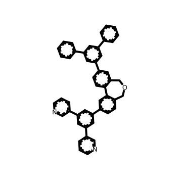 c1ccc(-c2cc(-c3ccccc3)cc(-c3ccc4c(c3)COCc3ccc(-c5cc(-c6cccnc6)cc(-c6cccnc6)c5)cc3-4)c2)cc1